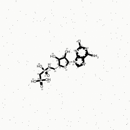 Nc1nc(Cl)nc2c1ncn2[C@@H]1O[C@H](CNP(=O)(O)CP(=O)(O)O)C(O)C1O